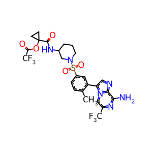 Cc1ccc(S(=O)(=O)N2CCCC(NC(=O)C3(OC(=O)C(F)(F)F)CC3)C2)cc1-c1cnc2c(N)nc(C(F)(F)F)cn12